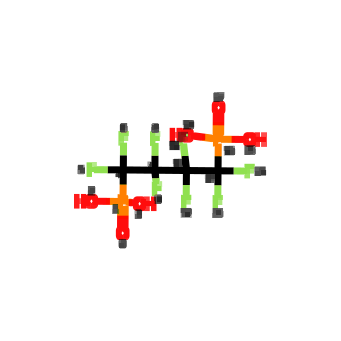 O=P(O)(O)C(F)(F)C(F)(F)C(F)(F)C(F)(F)P(=O)(O)O